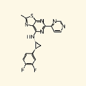 Cc1nc2c(N[C@@H]3C[C@H]3c3ccc(F)c(F)c3)nc(-c3ccncn3)nc2s1